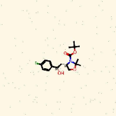 CC(C)(C)OC(=O)N1[C@@H](C[C@H](O)c2ccc(F)cc2)COC1(C)C